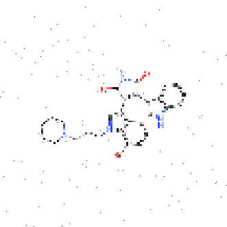 O=C1NC(=O)C(c2cn(CCCN3CCCCC3)c3c(Br)cccc23)=C1c1c[nH]c2ccccc12